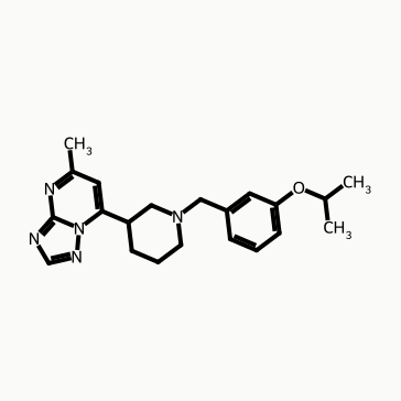 Cc1cc(C2CCCN(Cc3cccc(OC(C)C)c3)C2)n2ncnc2n1